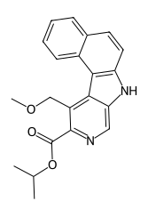 COCc1c(C(=O)OC(C)C)ncc2[nH]c3ccc4ccccc4c3c12